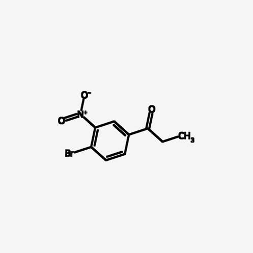 CCC(=O)c1ccc(Br)c([N+](=O)[O-])c1